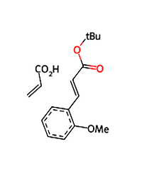 C=CC(=O)O.COc1ccccc1/C=C/C(=O)OC(C)(C)C